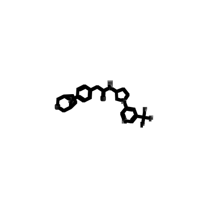 O=C(Cc1ccc(N2C3CCC2COC3)cc1)NC1CCN(c2cncc(C(F)(F)F)c2)C1